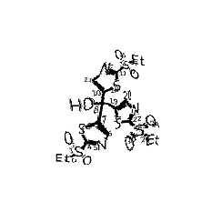 CCS(=O)(=O)c1ncc(C(O)(c2cnc(S(=O)(=O)CC)s2)c2cnc(S(=O)(=O)CC)s2)s1